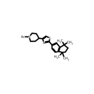 CC(=O)N1CCC(c2csc(-c3ccc4c(c3)C(C)(C)CCC4(C)C)n2)CC1